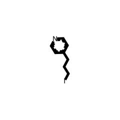 ICCCc1ccncc1